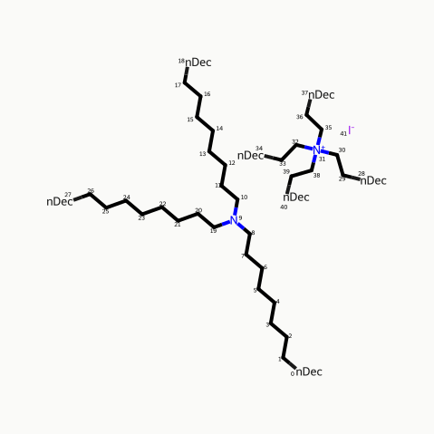 CCCCCCCCCCCCCCCCCCN(CCCCCCCCCCCCCCCCCC)CCCCCCCCCCCCCCCCCC.CCCCCCCCCCCC[N+](CCCCCCCCCCCC)(CCCCCCCCCCCC)CCCCCCCCCCCC.[I-]